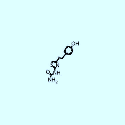 NC(=O)Nc1nc([CH]Cc2ccc(O)cc2)cs1